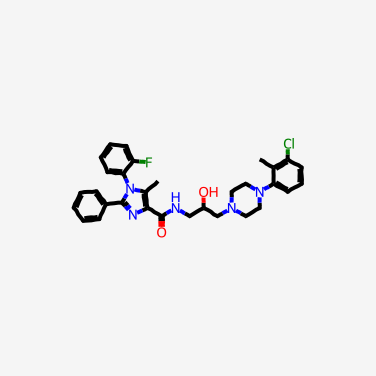 Cc1c(Cl)cccc1N1CCN(CC(O)CNC(=O)c2nc(-c3ccccc3)n(-c3ccccc3F)c2C)CC1